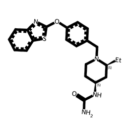 CC[C@H]1C[C@@H](NC(N)=O)CCN1Cc1ccc(Oc2nc3ccccc3s2)cc1